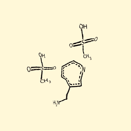 CS(=O)(=O)O.CS(=O)(=O)O.NCc1cccnc1